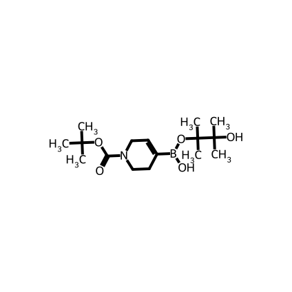 CC(C)(C)OC(=O)N1CC=C(B(O)OC(C)(C)C(C)(C)O)CC1